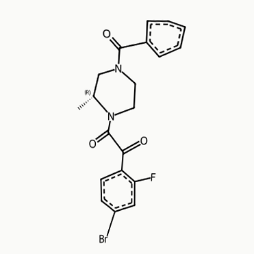 C[C@@H]1CN(C(=O)c2ccccc2)CCN1C(=O)C(=O)c1ccc(Br)cc1F